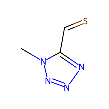 Cn1nnnc1C=S